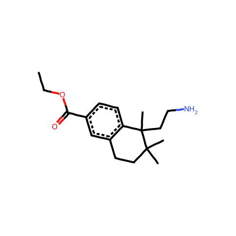 CCOC(=O)c1ccc2c(c1)CCC(C)(C)C2(C)CCN